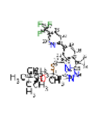 CC1(CO[Si](C)(C)C(C)(C)C)Cc2nnc(C3(c4ccc(-c5ccc(C(F)(F)F)cn5)cc4)CC3)n2CCS1